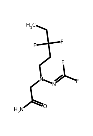 CCC(F)(F)CCN(CC(N)=O)N=C(F)F